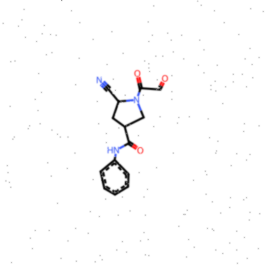 N#CC1CC(C(=O)Nc2ccccc2)CN1C(=O)C=O